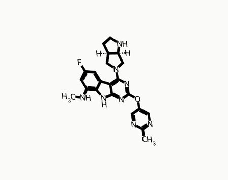 CNc1cc(F)cc2c1[nH]c1nc(Oc3cnc(C)nc3)nc(N3C[C@H]4CCN[C@H]4C3)c12